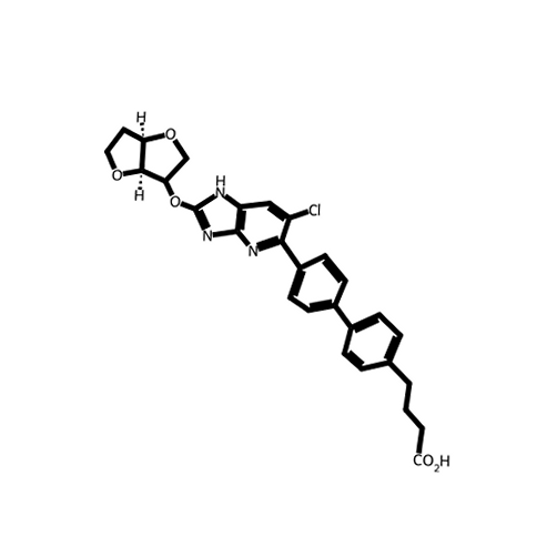 O=C(O)CCCc1ccc(-c2ccc(-c3nc4nc(OC5CO[C@@H]6CCO[C@H]56)[nH]c4cc3Cl)cc2)cc1